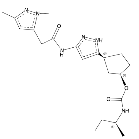 CC[C@H](C)NC(=O)O[C@@H]1CC[C@H](c2cc(NC(=O)Cc3cc(C)nn3C)n[nH]2)C1